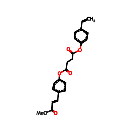 C=Cc1ccc(OC(=O)CCC(=O)Oc2ccc(/C=C/C(=O)OC)cc2)cc1